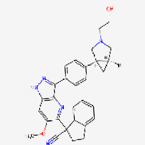 COc1cc2[nH]nc(-c3ccc([C@@]45C[C@@H]4CN(CCO)C5)cc3)c2nc1C1(C#N)CCc2ccccc21